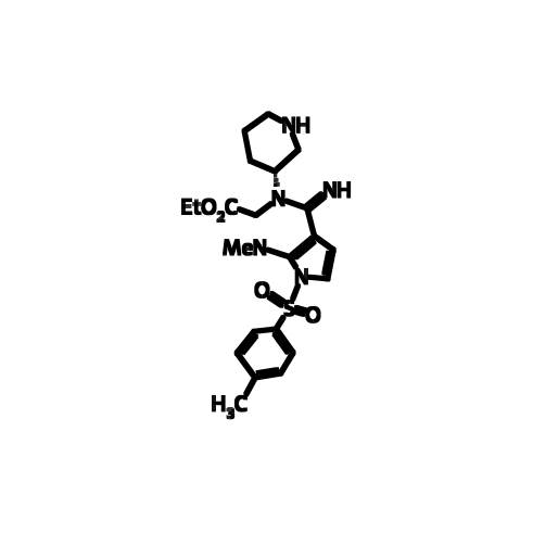 CCOC(=O)CN(C(=N)c1ccn(S(=O)(=O)c2ccc(C)cc2)c1NC)[C@@H]1CCCNC1